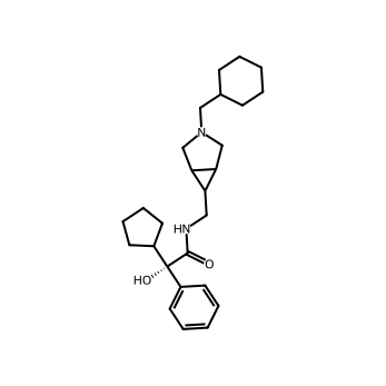 O=C(NCC1C2CN(CC3CCCCC3)CC12)[C@@](O)(c1ccccc1)C1CCCC1